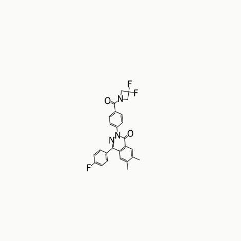 Cc1cc2c(-c3ccc(F)cc3)nn(-c3ccc(C(=O)N4CC(F)(F)C4)cc3)c(=O)c2cc1C